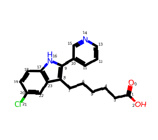 O=C(O)CCCCCc1c(-c2cccnc2)[nH]c2ccc(Cl)cc12